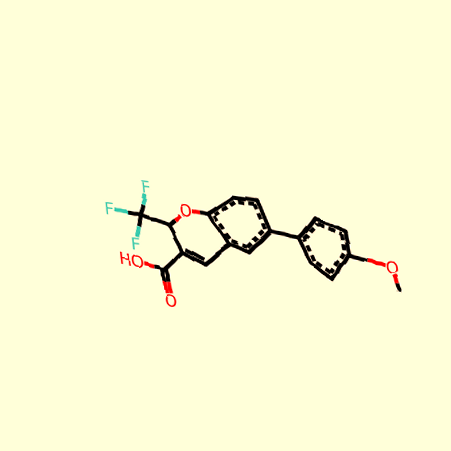 COc1ccc(-c2ccc3c(c2)C=C(C(=O)O)C(C(F)(F)F)O3)cc1